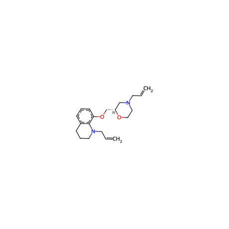 C=CCN1CCO[C@H](COc2cccc3c2N(CC=C)CCC3)C1